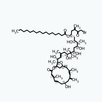 C=C1/C=C(/C)C[C@H]2C[C@@H](OC(=O)/C=C(C)/C=C/C[C@H](O)C1)[C@@](C)([C@H](O)/C=C(\C)C[C@H](O)C(C)(C)[C@H](O)C[C@H](O)[C@@H](C)[C@H](O)C[C@@H](CC(=C)C(=O)CBr)OC(=O)CCCCCCCCCCCCCCC)O2